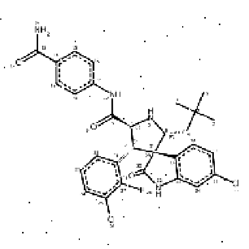 CC(C)(C)C[C@H]1N[C@H](C(=O)Nc2ccc(C(N)=O)cc2)[C@@H](c2cccc(Cl)c2F)[C@@]12C(=O)Nc1cc(Cl)ccc12